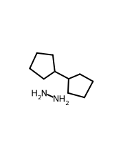 C1CCC(C2CCCC2)C1.NN